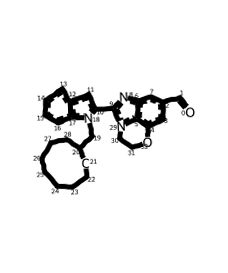 O=Cc1cc2c3c(c1)nc(-c1cc4ccccc4n1CC1CCCCCCCC1)n3CCO2